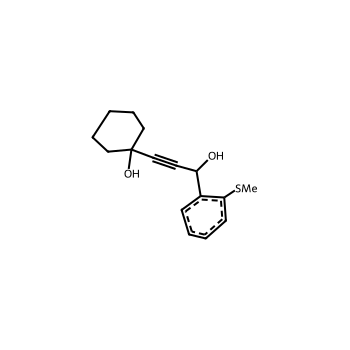 CSc1ccccc1C(O)C#CC1(O)CCCCC1